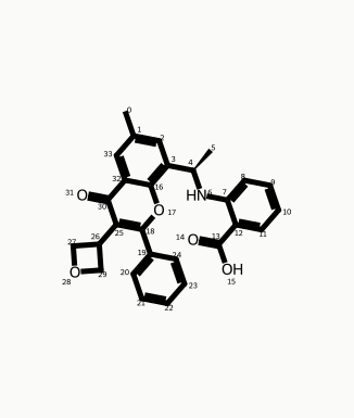 Cc1cc([C@@H](C)Nc2ccccc2C(=O)O)c2oc(-c3ccccc3)c(C3COC3)c(=O)c2c1